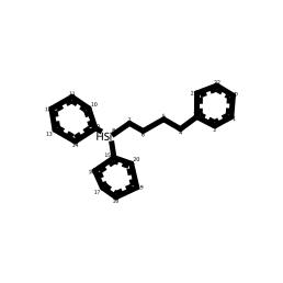 c1ccc(CCCC[SiH](c2ccccc2)c2ccccc2)cc1